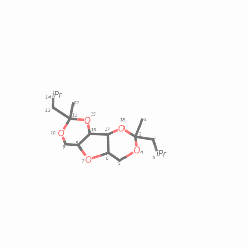 CC(C)CC1(C)OCC2OC3COC(C)(CC(C)C)OC3C2O1